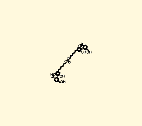 C=C(C)[C@H]1CCC(CO)=C[C@@H]1c1c(O)cc(CCCCCCO[N+](=O)OCCCCCCc2cc(O)c([C@H]3C=C(CO)CC[C@@H]3C(=C)C)c(O)c2)cc1O